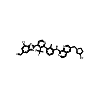 Cc1c(Nc2nccc3cc(CN4CC[C@@H](O)C4)cnc23)cccc1-c1nccc(-c2nc3cc(C=O)cc(Cl)c3o2)c1C(F)(F)F